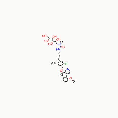 CCN(CC(O)C(O)C(O)C(O)CO)C(=O)NCCCCc1cc(Cl)c(COC2(c3cnccc3-c3ccccc3OC3CC3)CC2)cc1C